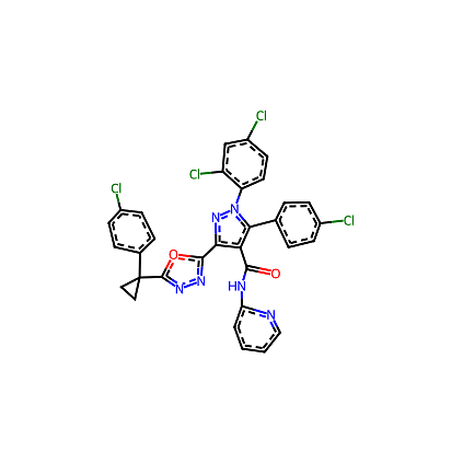 O=C(Nc1ccccn1)c1c(-c2nnc(C3(c4ccc(Cl)cc4)CC3)o2)nn(-c2ccc(Cl)cc2Cl)c1-c1ccc(Cl)cc1